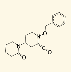 O=C=C1CC(N2CCCCC2=O)CCN1OCc1ccccc1